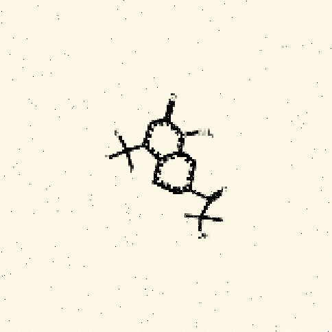 CC(C)(O)C(=O)c1ccc2c(C(F)(F)F)cc(=O)n(N)c2c1